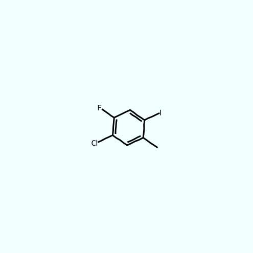 Cc1cc(Cl)c(F)cc1I